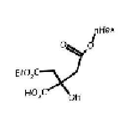 CCCCCCOC(=O)CC(O)(CC(=O)OCC)C(=O)O